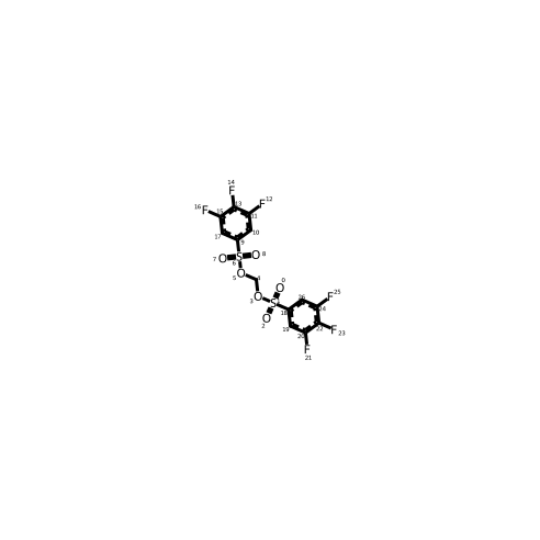 O=S(=O)(OCOS(=O)(=O)c1cc(F)c(F)c(F)c1)c1cc(F)c(F)c(F)c1